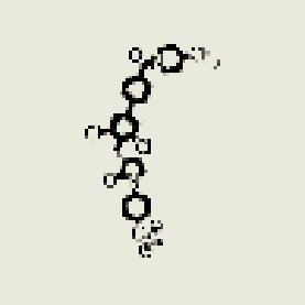 CS(=O)(=O)O[C@H]1CC[C@H](N2CC[C@@H](Cc3c(Cl)cc(-c4ccc(C(=O)N5CCC(C(F)(F)F)CC5)cc4)cc3Cl)C2=O)CC1